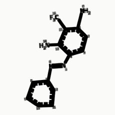 Nc1ccc(N=Nc2ccccc2)c(N)c1C(F)(F)F